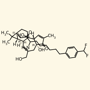 CC1=C[C@H]2[C@@]3(O)CC[C@]4(CC(=O)C(N)CCCCCCc5ccc(C(F)F)cc5)[C@H]([C@@H]3C=C(CO)C[C@]2(O)C1=O)C4(C)C